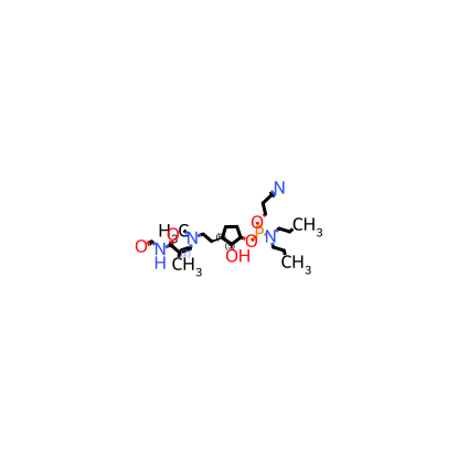 CCCN(CCC)P(OCCC#N)OC1CC[C@H](CCN(C)/C=C(/C)C(=O)NC=O)[C@@H]1O